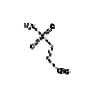 NS(=O)(=O)C=C[C]=O